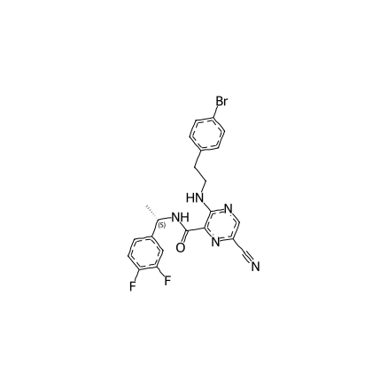 C[C@H](NC(=O)c1nc(C#N)cnc1NCCc1ccc(Br)cc1)c1ccc(F)c(F)c1